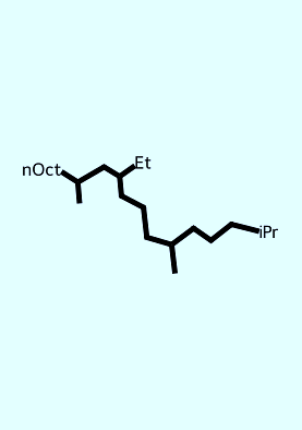 CCCCCCCCC(C)CC(CC)CCCC(C)CCCC(C)C